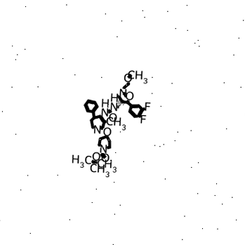 COCCN1C[C@@H](CNC(=O)NC2=C(C)C(OC3CCN(C(=O)OC(C)(C)C)CC3)=NCCC2c2ccccc2)C(c2ccc(F)c(F)c2)O1